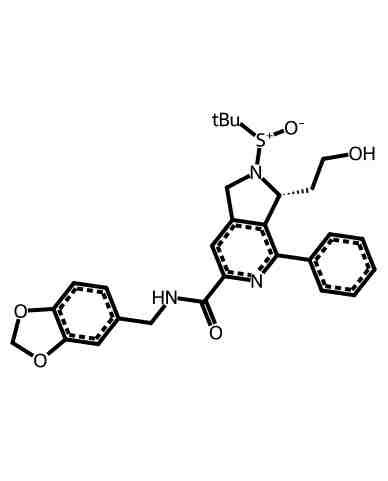 CC(C)(C)[S+]([O-])N1Cc2cc(C(=O)NCc3ccc4c(c3)OCO4)nc(-c3ccccc3)c2[C@H]1CCO